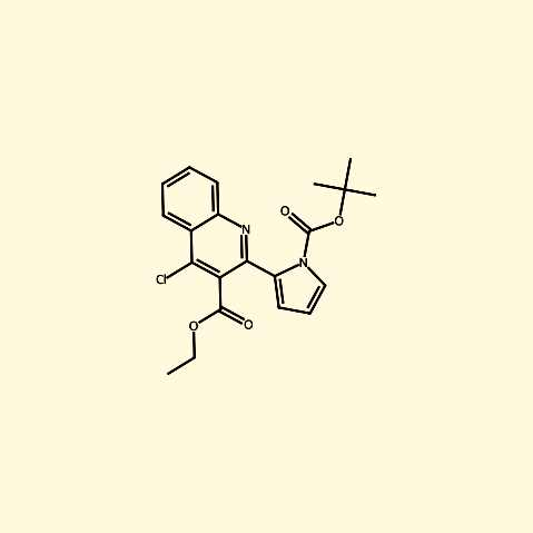 CCOC(=O)c1c(-c2cccn2C(=O)OC(C)(C)C)nc2ccccc2c1Cl